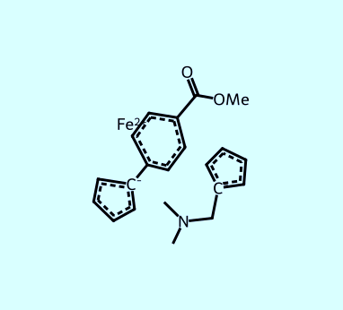 CN(C)C[c-]1cccc1.COC(=O)c1ccc(-[c-]2cccc2)cc1.[Fe+2]